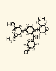 CCC1COCCN1c1ccc([C@@H](COC)CC(=O)O)cc1Nc1ccc(Cl)cc1